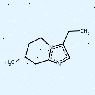 CCc1cnc2n1CC[C@@H](C)C2